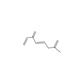 C=CC(=C)C=CCC(=C)C